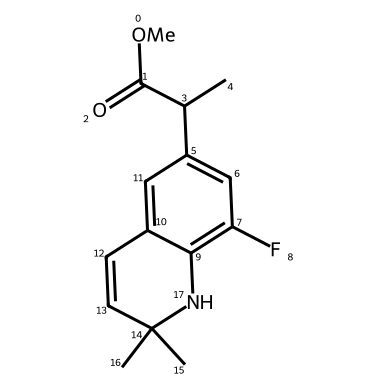 COC(=O)C(C)c1cc(F)c2c(c1)C=CC(C)(C)N2